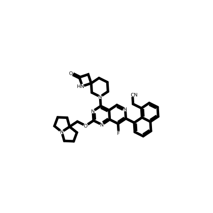 N#CCc1cccc2cccc(-c3ncc4c(N5CCCC6(CC(=O)N6)C5)nc(OCC56CCCN5CCC6)nc4c3F)c12